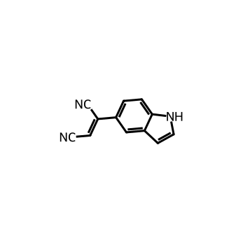 N#CC=C(C#N)c1ccc2[nH]ccc2c1